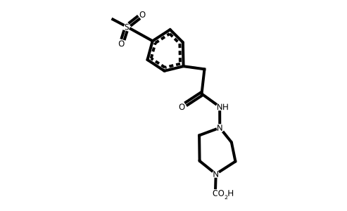 CS(=O)(=O)c1ccc(CC(=O)NN2CCN(C(=O)O)CC2)cc1